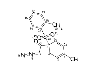 CC1=CCC(C(=O)C=[N+]=[N-])(S(=O)(=O)c2ccccc2C)C=C1